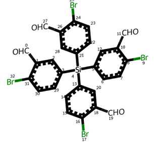 O=Cc1cc([Si](c2ccc(Br)c(C=O)c2)(c2ccc(Br)c(C=O)c2)c2ccc(Br)c(C=O)c2)ccc1Br